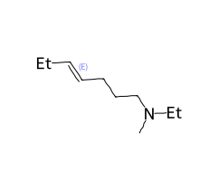 CC/C=C/CCCN(C)CC